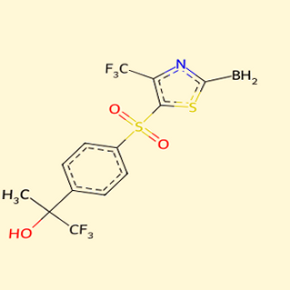 Bc1nc(C(F)(F)F)c(S(=O)(=O)c2ccc(C(C)(O)C(F)(F)F)cc2)s1